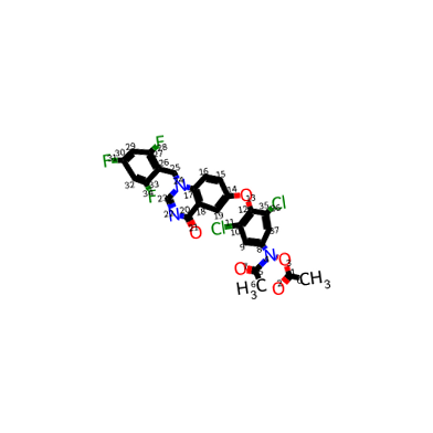 CC(=O)ON(C(C)=O)c1cc(Cl)c(Oc2ccc3c(c2)c(=O)ncn3Cc2c(F)cc(F)cc2F)c(Cl)c1